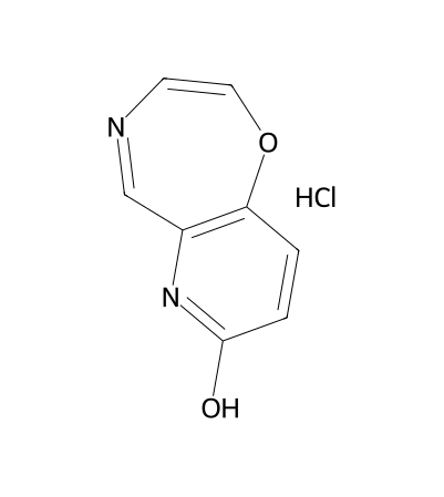 Cl.Oc1ccc2c(n1)C=NC=CO2